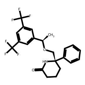 C[C@@H](OC[C@@]1(c2ccccc2)CCCC(=O)N1)c1cc(C(F)(F)F)cc(C(F)(F)F)c1